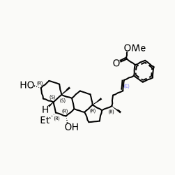 CC[C@H]1[C@@H](O)C2C3CCC([C@H](C)C/C=C/c4ccccc4C(=O)OC)[C@@]3(C)CCC2[C@@]2(C)CC[C@@H](O)C[C@@H]12